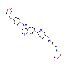 c1cc(Nc2ccc(Cc3ccoc3)cc2)c2ccc(-c3ccc(CNCCCN4CCOCC4)cn3)cc2n1